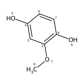 COc1cc(O)[c]cc1O